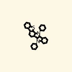 c1ccc(-n2c3ccccc3c3c2c2ccc4c5ccccc5sc4c2n3-c2ccccc2)cc1